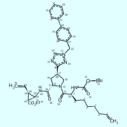 C=CCCCCC[C@H](NC(=O)OC(C)(C)C)C(=O)N1C[C@H](c2nnn(Cc3ccc(-c4ccccc4)cc3)n2)C[C@H]1C(=O)N[C@@]1(C(=O)OCC)C[C@H]1C=C